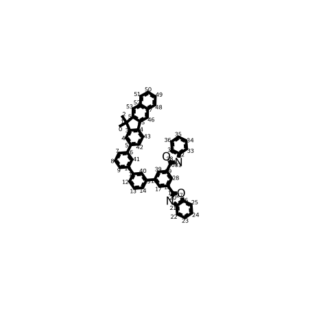 CC1(C)c2cc(-c3cccc(-c4cccc(-c5cc(-c6nc7ccccc7o6)cc(-c6nc7ccccc7o6)c5)c4)c3)ccc2-c2cc3ccccc3cc21